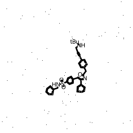 CC(C)(C)NCC#Cc1ccc(Cc2nc(-c3ccccc3)c(-c3ccc(S(=O)(=O)NCc4ccccc4)cc3)o2)cc1